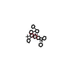 CC1(C)c2ccccc2-c2cc(N(c3ccc4c(c3)c3ccccc3n4-c3ccccc3)c3cccc(-c4ccccc4)c3-c3ccccc3-c3ccccc3)ccc21